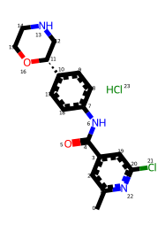 Cc1cc(C(=O)Nc2ccc([C@H]3CNCCO3)cc2)cc(Cl)n1.Cl